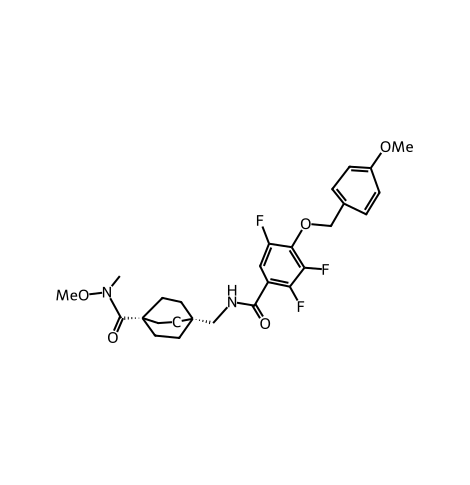 COc1ccc(COc2c(F)cc(C(=O)NC[C@]34CC[C@](C(=O)N(C)OC)(CC3)CC4)c(F)c2F)cc1